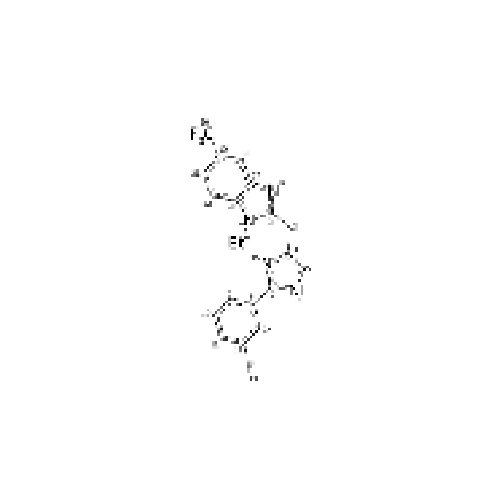 CCn1c(Cc2c[nH]c(-c3cccc(F)c3)n2)nc2cc(C(F)(F)F)ccc21